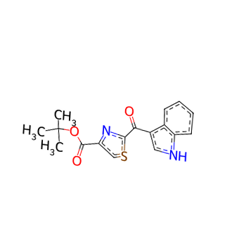 CC(C)(C)OC(=O)c1csc(C(=O)c2c[nH]c3ccccc23)n1